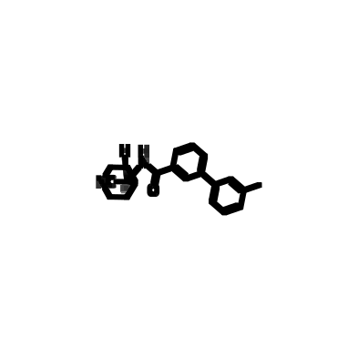 Cc1cccc(-c2cccc(C(=O)N[C@H]3CN4CCC3CC4)c2)c1